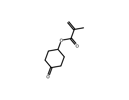 C=C(C)C(=O)OC1CCC(=O)CC1